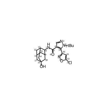 CC(C)(C)n1ncc(C(=O)NC2C3CC4CC2CC(O)(C4)C3)c1-c1cc(Cl)on1